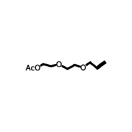 C=CCOCCOCCOC(C)=O